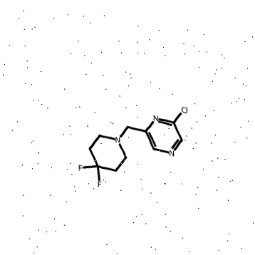 FC1(F)CCN(Cc2cncc(Cl)n2)CC1